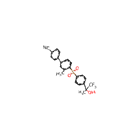 Cc1cc(-c2ccc(C#N)cc2)ccc1S(=O)(=O)c1ccc(C(C)(O)C(F)(F)F)cc1